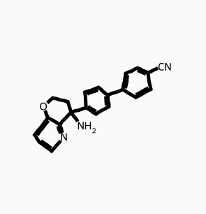 N#Cc1ccc(-c2ccc(C3(N)CCOc4cccnc43)cc2)cc1